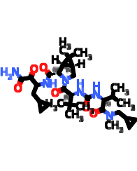 CC(C)[C@H](NC(=O)N[C@H](C(=O)N1C[C@H]2[C@@H]([C@H]1C(=O)NC(CC1CC1)C(=O)C(N)=O)C2(C)C)C(C)(C)C)C(=O)N(C)CC1CC1